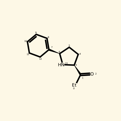 CCC(=O)[C@@H]1CC[C@H](C2=CC=CCC2)N1